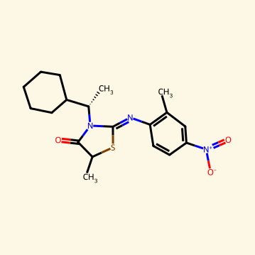 Cc1cc([N+](=O)[O-])ccc1/N=C1\SC(C)C(=O)N1[C@@H](C)C1CCCCC1